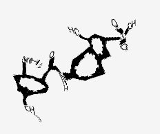 Cc1ccc(N)c(C(=O)Nc2ccc3cc(S(=O)(=O)O)cc(O)c3c2)c1